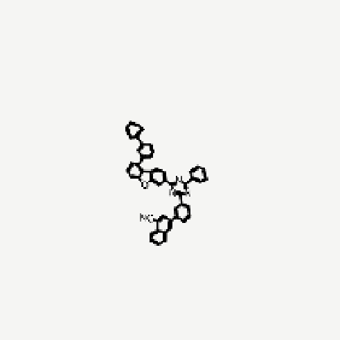 N#Cc1cc(-c2cccc(-c3nc(-c4ccccc4)nc(-c4ccc5c(c4)oc4cccc(-c6cccc(-c7ccccc7)c6)c45)n3)c2)cc2ccccc12